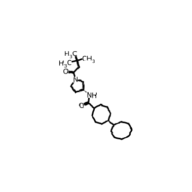 CC(C)(C)CC(=O)N1CC[C@@H](NC(=O)C2CCCC(C3CCCCCCC3)CCC2)C1